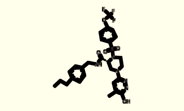 CCCc1ccc(CNC(=O)[C@H]2CN(c3cc(C)c(O)nn3)CCN2S(=O)(=O)c2ccc(OC(F)(F)F)cc2)cc1